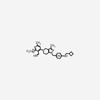 CNc1nc(C)cc(N2CCc3c(c(C)nn3CC34CCC(NCC5CCC5)(CC3)CO4)C2)c1C=N